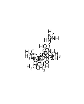 CC(C)C[C@H](NC(=O)OC(C)(C)C)C(=O)N[C@@H](CO)C(=O)N[C@H](C(=O)N[C@@H](CCCNC(=N)N)C(=O)O)[C@@H](C)O